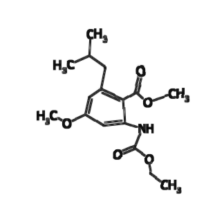 CCOC(=O)Nc1cc(OC)cc(CC(C)C)c1C(=O)OC